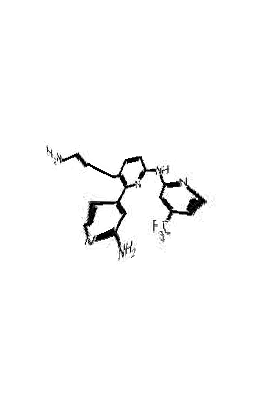 NCCc1ccc(Nc2cc(C(F)(F)F)ccn2)nc1-c1ccnc(N)c1